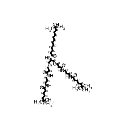 CC(C)(C)CCCCCCCCCCC(=O)NC(COCCC(=O)NCCCNC(=O)CCCCC(C)(C)C)COCCC(=O)NCCCNC(=O)CCCCC(C)(C)C